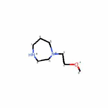 COCCN1CCCNCC1